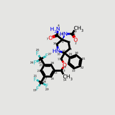 CC(=O)N[C@@]1(C(N)=O)CCC(COC(C)c2cc(C(F)(F)F)cc(C(F)(F)F)c2)(c2ccccc2)NC1